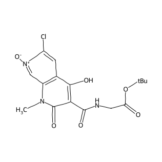 Cn1c(=O)c(C(=O)NCC(=O)OC(C)(C)C)c(O)c2cc(Cl)[n+]([O-])cc21